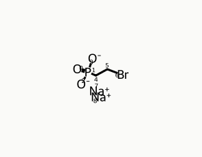 O=P([O-])([O-])CCBr.[Na+].[Na+]